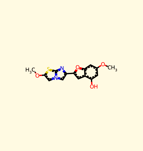 COc1cc(O)c2cc(-c3cn4cc(OC)sc4n3)oc2c1